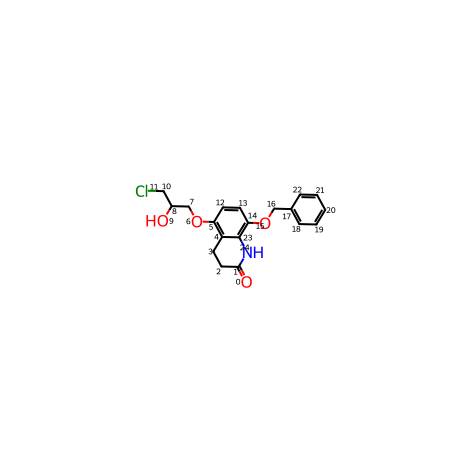 O=C1CCc2c(OCC(O)CCl)ccc(OCc3ccccc3)c2N1